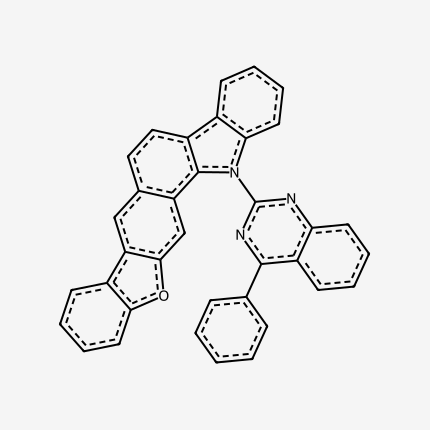 c1ccc(-c2nc(-n3c4ccccc4c4ccc5cc6c(cc5c43)oc3ccccc36)nc3ccccc23)cc1